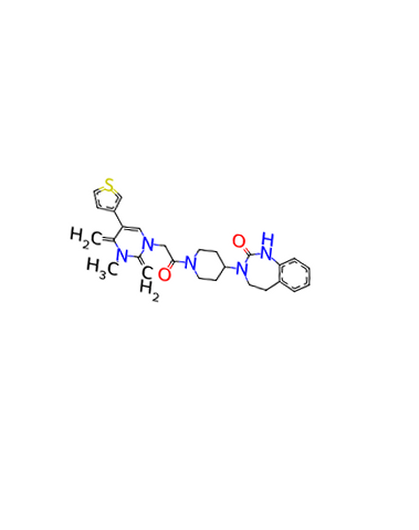 C=C1C(c2ccsc2)=CN(CC(=O)N2CCC(N3CCc4ccccc4NC3=O)CC2)C(=C)N1C